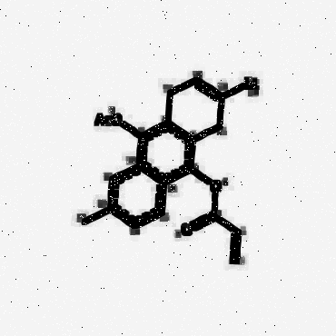 C=CC(=O)Oc1c2c(c(OC(C)=O)c3cc(C)ccc13)CC=C(CC)C2